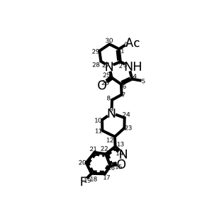 CC(=O)C1=C2NC(C)=C(CCN3CCC(c4noc5cc(F)ccc45)CC3)C(=O)N2CCC1